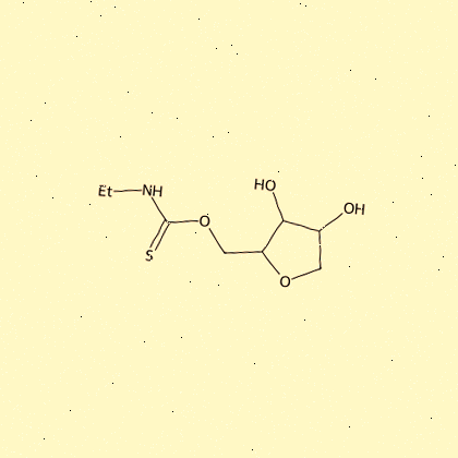 CCNC(=S)OCC1OCC(O)C1O